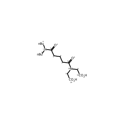 CCCCN(CCCC)C(=O)CCCC(=O)N(CC(=O)O)CC(=O)O